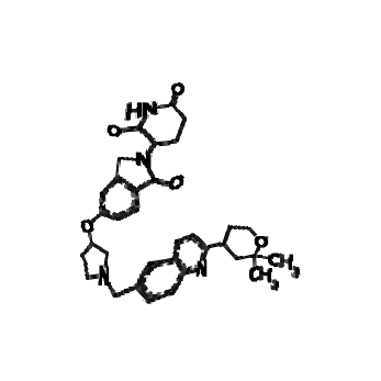 CC1(C)CC(c2ccc3cc(CN4CCC(Oc5ccc6c(c5)CN(C5CCC(=O)NC5=O)C6=O)C4)ccc3n2)CCO1